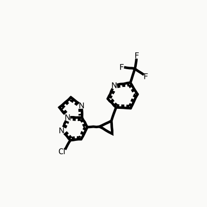 FC(F)(F)c1ccc(C2CC2c2cc(Cl)nn3ccnc23)cn1